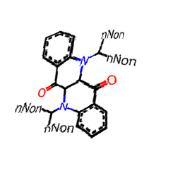 CCCCCCCCCC(CCCCCCCCC)N1c2ccccc2C(=O)C2C1C(=O)c1ccccc1N2C(CCCCCCCCC)CCCCCCCCC